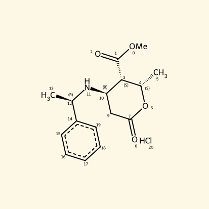 COC(=O)[C@@H]1[C@H](C)OC(=O)C[C@H]1N[C@H](C)c1ccccc1.Cl